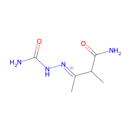 C/C(=N\NC(N)=O)C(C)C(N)=O